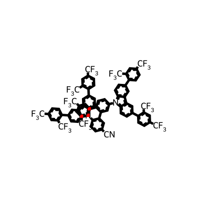 N#Cc1ccc(-n2c3ccc(-c4ccc(C(F)(F)F)cc4C(F)(F)F)cc3c3cc(-c4ccc(C(F)(F)F)cc4C(F)(F)F)ccc32)c(-c2cc(-n3c4ccc(-c5ccc(C(F)(F)F)cc5C(F)(F)F)cc4c4cc(-c5ccc(C(F)(F)F)cc5C(F)(F)F)ccc43)ccc2-c2cc(C(F)(F)F)cc(C(F)(F)F)c2)c1